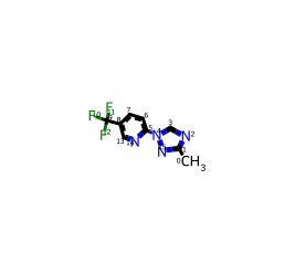 Cc1ncn(-c2ccc(C(F)(F)F)cn2)n1